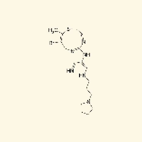 C/C1=C(\Br)C/N=C(N/C(C=N)=C/NCCCN2CCCC2)\N=C/CS1